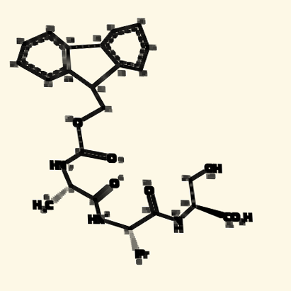 CC(C)[C@H](NC(=O)[C@H](C)NC(=O)OCC1c2ccccc2-c2ccccc21)C(=O)N[C@@H](CO)C(=O)O